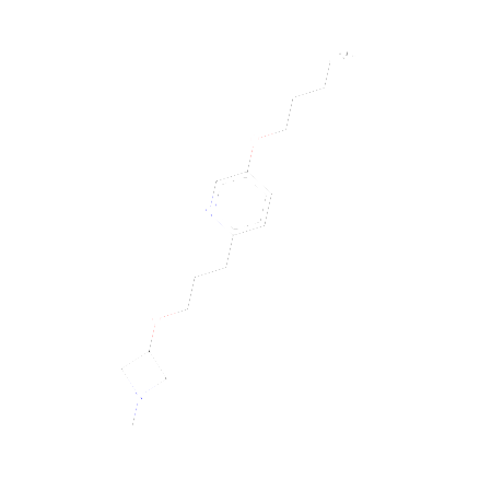 COCCCOc1ccc(CCCOC2CN(C)C2)nc1